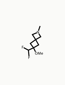 COC1(C(F)F)CC2(CN(C)C2)C1